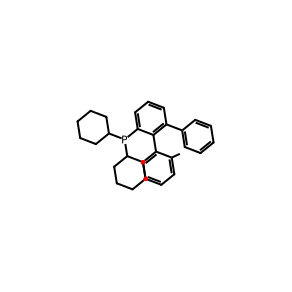 Cc1ccccc1-c1c(-c2ccccc2)cccc1P(C1CCCCC1)C1CCCCC1